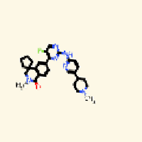 CN1CCC(c2ccc(Nc3ncc(F)c(-c4ccc5c(c4)C4(CCCC4)CN(C)C5=O)n3)nc2)CC1